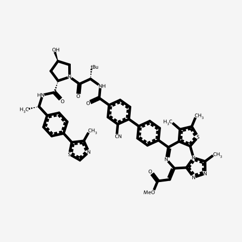 COC(=O)/C=C1\N=C(c2ccc(-c3ccc(C(=O)N[C@H](C(=O)N4C[C@H](O)C[C@H]4C(=O)N[C@@H](C)c4ccc(-c5scnc5C)cc4)C(C)(C)C)cc3C#N)cc2)c2c(sc(C)c2C)-n2c(C)nnc21